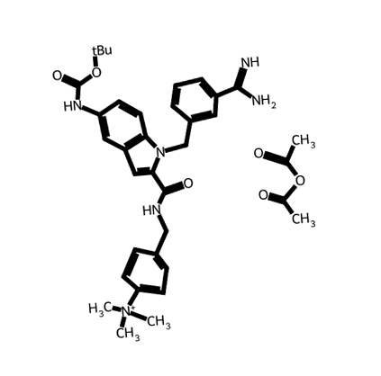 CC(=O)OC(C)=O.CC(C)(C)OC(=O)Nc1ccc2c(c1)cc(C(=O)NCc1ccc([N+](C)(C)C)cc1)n2Cc1cccc(C(=N)N)c1